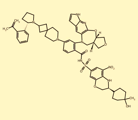 C=C(C)c1ccccc1[C@@H]1CCCN1C1CC2(CCN(c3ccc(C(=O)NS(=O)(=O)c4cc5c(c([N+](=O)[O-])c4)N[C@@H](C4CCC(C)(O)CC4)CO5)c(N4C[C@H]5COC[C@H]5Oc5nc6[nH]ccc6cc54)c3)CC2)C1